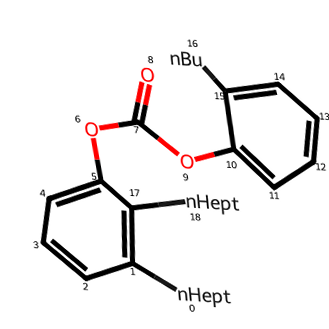 CCCCCCCc1cccc(OC(=O)Oc2ccccc2CCCC)c1CCCCCCC